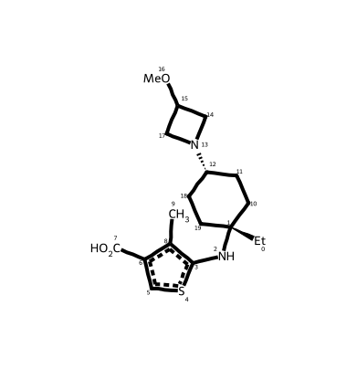 CC[C@]1(Nc2scc(C(=O)O)c2C)CC[C@@H](N2CC(OC)C2)CC1